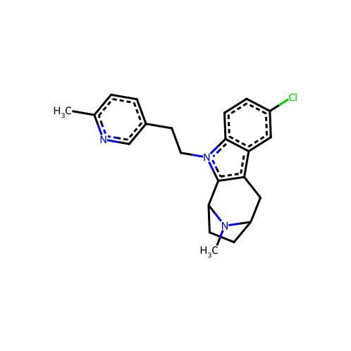 Cc1ccc(CCn2c3c(c4cc(Cl)ccc42)CC2CCC3N2C)cn1